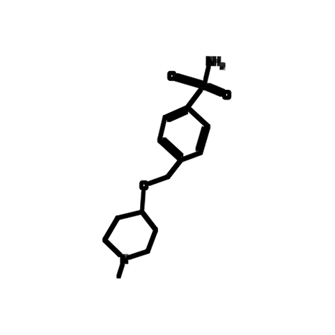 CN1CCC(OCc2ccc(S(N)(=O)=O)cc2)CC1